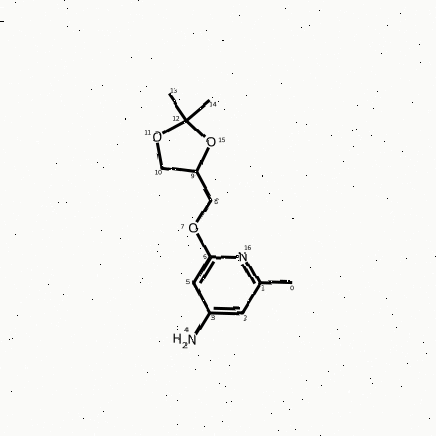 Cc1cc(N)cc(OCC2COC(C)(C)O2)n1